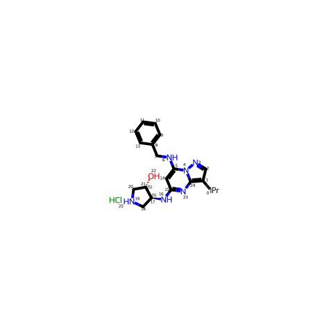 CC(C)c1cnn2c(NCc3ccccc3)cc(N[C@H]3CNC[C@@H]3O)nc12.Cl